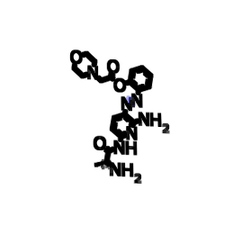 C[C@H](N)C(=O)Nc1ccc(/N=N/c2ccccc2OC(=O)CN2CCOCC2)c(N)n1